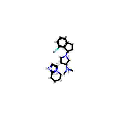 CN(C)[C@@H]1CN(C2CCc3cccc(F)c32)C[C@H]1c1cnc2n1CCCC2